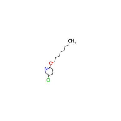 CCCCCCCCOc1ccc(Cl)cn1